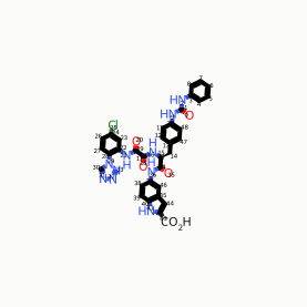 O=C(Nc1ccccc1)Nc1ccc(C[C@H](NC(=O)C(=O)Nc2cc(Cl)ccc2-n2cnnn2)C(=O)Nc2ccc3[nH]c(C(=O)O)cc3c2)cc1